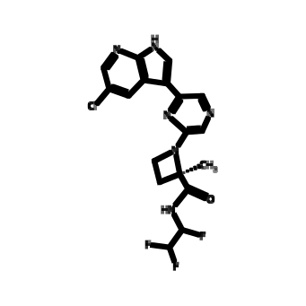 C[C@]1(C(=O)NC(F)C(F)F)CCN1c1cncc(-c2c[nH]c3ncc(Cl)cc23)n1